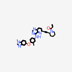 C=CC(=O)N1CCCCC1C#Cc1ccc2ncnc(Nc3ccc(Oc4ccc5c(c4)ncn5C)c(C)c3)c2n1